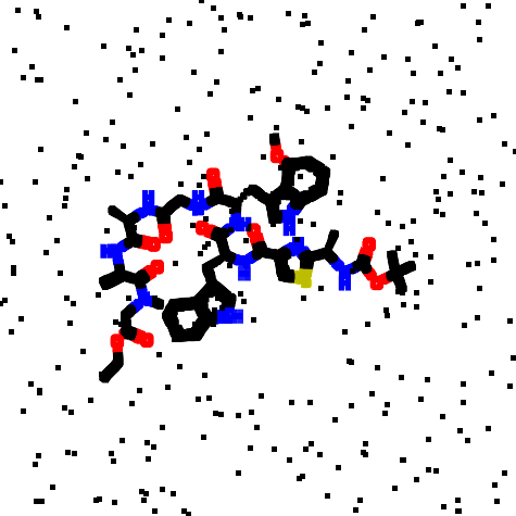 C=C(NC(=O)[C@@H](C)NC(=O)CNC(=O)[C@H](Cc1c[nH]c2cccc(OC)c12)NC(=O)[C@H](Cc1c[nH]c2ccccc12)NC(=O)c1csc([C@@H](C)NC(=O)OC(C)(C)C)n1)C(=O)N(C)CC(=O)OCC